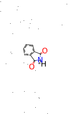 [2H]N1C(=O)c2ccccc2C1=O